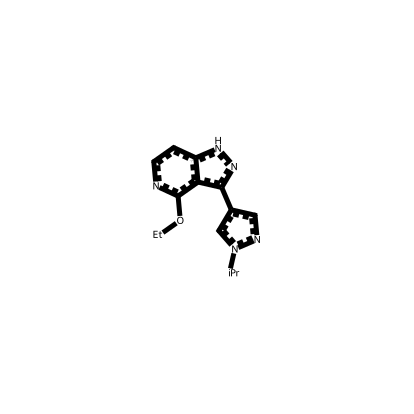 CCOc1nccc2[nH]nc(-c3cnn(C(C)C)c3)c12